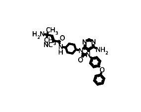 CC(C)(N)/C=C(\C#N)C(=O)NC1CCC(n2c(=O)n(-c3ccc(Oc4ccccc4)cc3)c3c(N)ncnc32)CC1